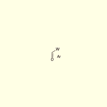 O=[CH][W].[Ar]